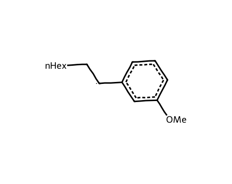 CCCCCCC[CH]c1cccc(OC)c1